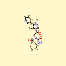 Cc1c(C(=O)CN2C(=O)NC3(CCCCC3)C2=O)nn(C)c1-c1cccnc1